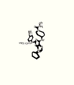 CCCNC(=O)N1CCC(Nc2nc(NC3CCC(N)CC3)nc3c2ncn3C2CCCC2)CC1.Cl.Cl